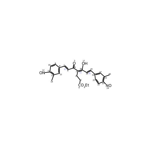 CCOC(=O)CC/C(C(=O)/C=C/c1ccc(N=O)c(C)c1)=C(O)\C=C\c1ccc(N=O)c(C)c1